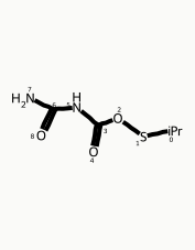 CC(C)SOC(=O)NC(N)=O